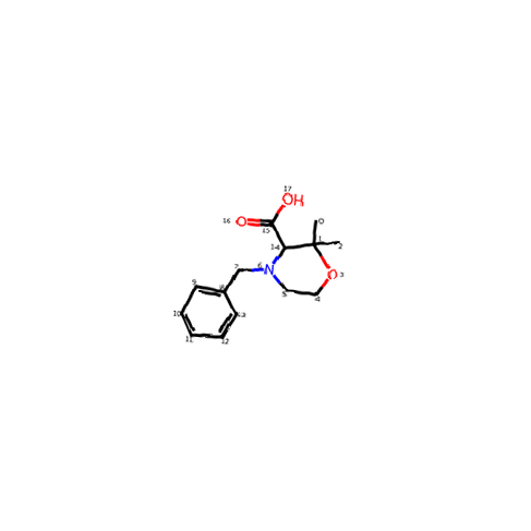 CC1(C)OCCN(Cc2ccccc2)C1C(=O)O